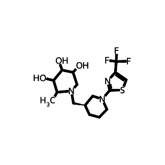 CC1C(O)C(O)C(O)CN1C[C@@H]1CCCN(c2nc(C(F)(F)F)cs2)C1